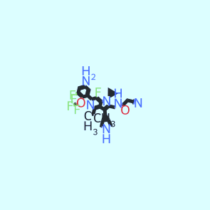 CC(C)c1nc(-c2cc(N)cc(F)c2OC(F)(F)F)c(F)c2c1c(C1C3CNCC31)c(CNC(=O)CC#N)n2C1CC1